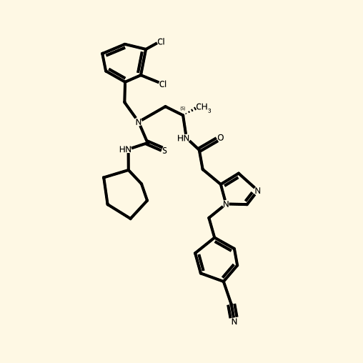 C[C@@H](CN(Cc1cccc(Cl)c1Cl)C(=S)NC1CCCCC1)NC(=O)Cc1cncn1Cc1ccc(C#N)cc1